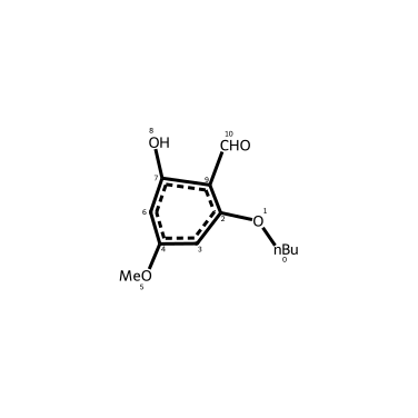 CCCCOc1cc(OC)cc(O)c1C=O